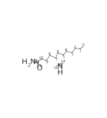 CCCCCCCCCCCC(N)=O.CNC